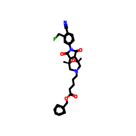 C[C@]12CN(CCCCC(=O)OCc3ccccc3)C[C@](C)(O1)C1C(=O)N(c3ccc(C#N)c(CF)c3)C(=O)C12